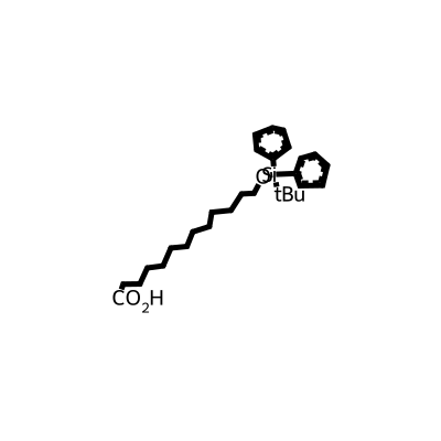 CC(C)(C)[Si](OCCCCCCCCCCCCC(=O)O)(c1ccccc1)c1ccccc1